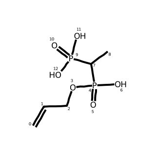 C=CCOP(=O)(O)C(C)P(=O)(O)O